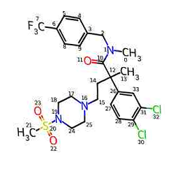 CN(Cc1ccc(C(F)(F)F)cc1)C(=O)C(C)(CCN1CCN(S(C)(=O)=O)CC1)c1ccc(Cl)c(Cl)c1